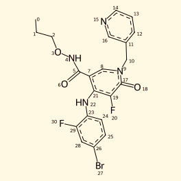 CCCONC(=O)c1cn(Cc2cccnc2)c(=O)c(F)c1Nc1ccc(Br)cc1F